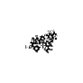 CCC(C)C(C(CC(=O)N1CCCC1C(OC)C(C)C(=O)NC(C)C(O)c1ccccc1)OC)N(C)C(=O)CNC(=O)C(C(C)C)N(C)C(C)C